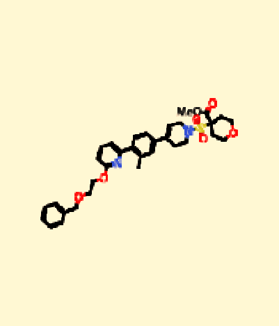 COC(=O)C1(S(=O)(=O)N2CC=C(c3ccc(-c4cccc(OCCOCc5ccccc5)n4)c(C)c3)CC2)CCOCC1